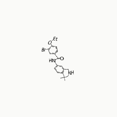 CCOc1ccc(C(=O)Nc2ccc3c(c2)CNCC3(C)C)cc1Br